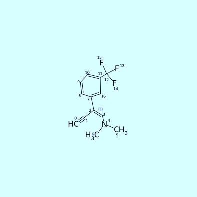 C#C/C(=C\N(C)C)c1cccc(C(F)(F)F)c1